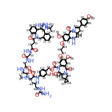 CC[C@H](NC(=O)CNC(=O)CNC(=O)CCC(=O)N1Cc2ccccc2C2=C(NNN2C(C)C)c2ccccc21)C(=O)N[C@@H](CCCNC(N)=O)C(=O)Nc1ccc(COC(=O)N2c3cc(OCCCOc4cc5c(cc4OC)C(=O)N4C=C(c6ccc(OC)cc6)C[C@H]4CN5)c(OC)cc3C(=O)N3CC4(CC4)C[C@H]3C2O)cc1